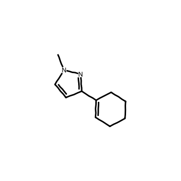 Cn1ccc(C2=CCCCC2)n1